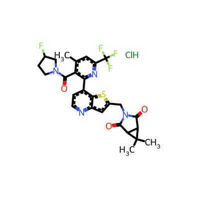 Cc1cc(C(F)(F)F)nc(-c2ccnc3cc(CN4C(=O)C5C(C4=O)C5(C)C)sc23)c1C(=O)N1CCC(F)C1.Cl